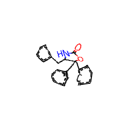 O=C1NC(Cc2ccccc2)C(c2ccccc2)(c2ccccc2)O1